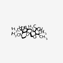 CC(C)C1OCCN(CC(C)C2OCCN(C)C2C(C)C)C1C(C)C